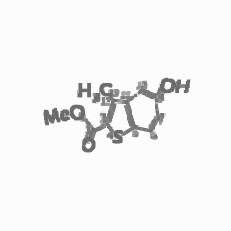 COC(=O)c1sc2ccc(O)cc2c1C